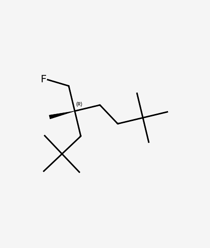 CC(C)(C)CC[C@@](C)(CF)CC(C)(C)C